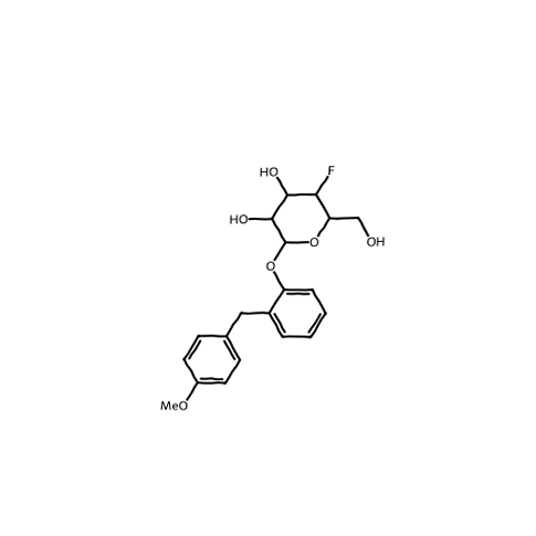 COc1ccc(Cc2ccccc2OC2OC(CO)C(F)C(O)C2O)cc1